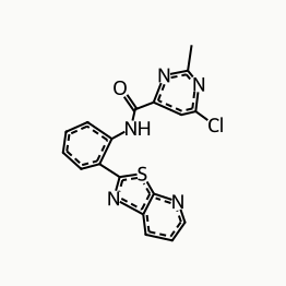 Cc1nc(Cl)cc(C(=O)Nc2ccccc2-c2nc3cccnc3s2)n1